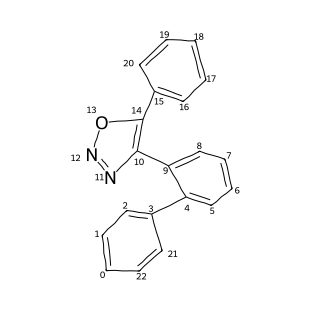 c1ccc(-c2ccccc2-c2nnoc2-c2ccccc2)cc1